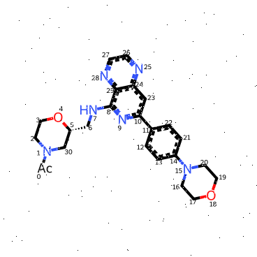 CC(=O)N1CCO[C@H](CNc2nc(-c3ccc(N4CCOCC4)cc3)cc3nccnc23)C1